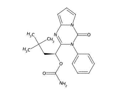 CC(C)(C)C[C@H](OC(N)=O)c1nc2cccn2c(=O)n1-c1ccccc1